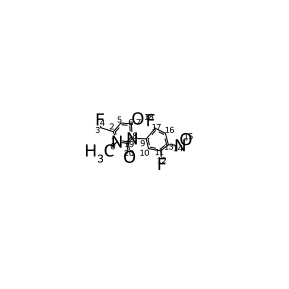 Cn1c(CF)cc(=O)n(-c2cc(F)c(N=O)cc2F)c1=O